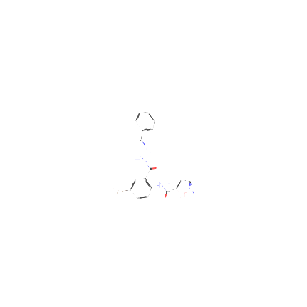 Cc1cccc(/C=N/NC(=O)c2cc(Br)ccc2NC(=O)c2ccno2)c1